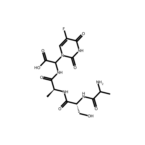 CC(N)C(=O)N[C@H](CO)C(=O)N[C@@H](C)C(=O)NC(C(=O)O)n1cc(F)c(=O)[nH]c1=O